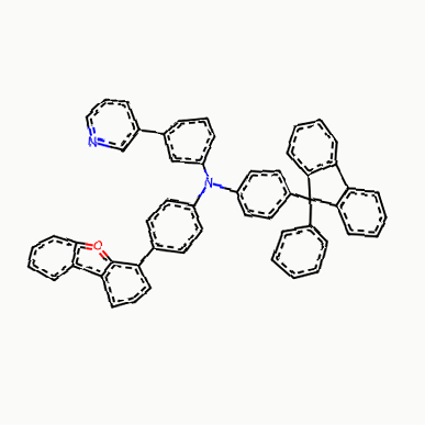 c1ccc(C2(c3ccc(N(c4ccc(-c5cccc6c5oc5ccccc56)cc4)c4cccc(-c5cccnc5)c4)cc3)c3ccccc3-c3ccccc32)cc1